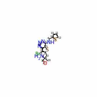 NC1(Cc2sc3c(NCc4cccs4)nnnc3c2Br)COC1